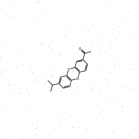 CC(=O)c1ccc2c(c1)Sc1cc(C(C)C)ccc1O2